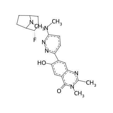 Cc1nc2cc(-c3ccc(N(C)[C@H]4CC5CCC([C@H]4F)N5C)nn3)c(O)cc2c(=O)n1C